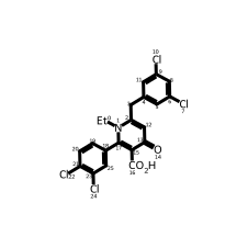 CCn1c(Cc2cc(Cl)cc(Cl)c2)cc(=O)c(C(=O)O)c1-c1ccc(Cl)c(Cl)c1